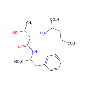 CC(O)CC(=O)NC(Cc1ccccc1)C(=O)O.NC(CCC(=O)O)C(=O)O